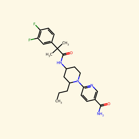 CCCC1CC(NC(=O)C(C)(C)c2ccc(F)c(F)c2)CCN1c1ccc(C(N)=O)cn1